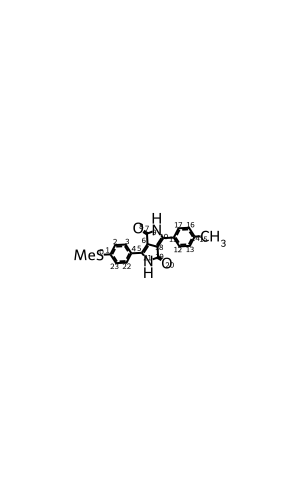 CSc1ccc(C2=C3C(=O)NC(c4ccc(C)cc4)=C3C(=O)N2)cc1